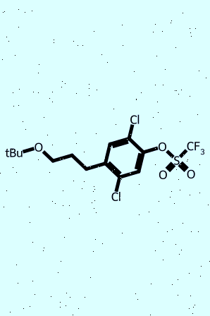 CC(C)(C)OCCCc1cc(Cl)c(OS(=O)(=O)C(F)(F)F)cc1Cl